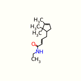 CCNC(=O)C=CCC1CC=C(C)C1(C)C